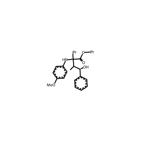 COc1ccc(NC(C(=O)OC(C)C)(C(C)C)C(C)[C@@H](O)c2ccccc2)cc1